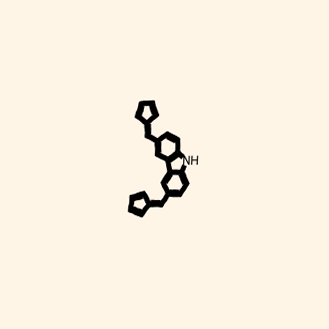 C1=CC(=Cc2ccc3[nH]c4ccc(C=C5C=CC=C5)cc4c3c2)C=C1